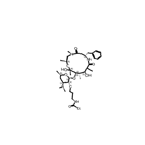 CCC(=O)NCCCO[C@H]1[C@H](O[C@@H]2[C@@H](C)[C@H](O)C(C)C(=O)N[C@@H](Cc3ccccc3)CC(=O)N(C)C[C@H](C)C[C@@]2(C)O)O[C@H](C)C[C@@H]1N(C)C